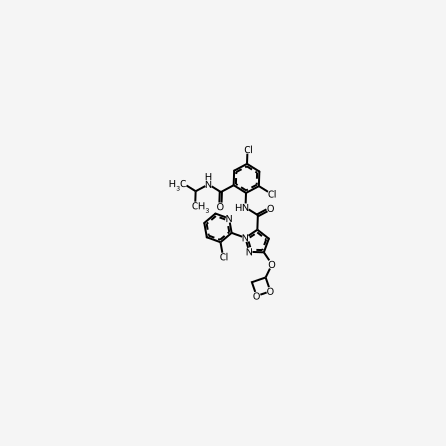 CC(C)NC(=O)c1cc(Cl)cc(Cl)c1NC(=O)c1cc(OC2COO2)nn1-c1ncccc1Cl